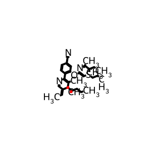 C\C=C(/C=N\C(=C(\C)CC)c1ccc(C#N)cc1OC(=C/SCCC)/N=C(/C)C(C)CC)CCCCC